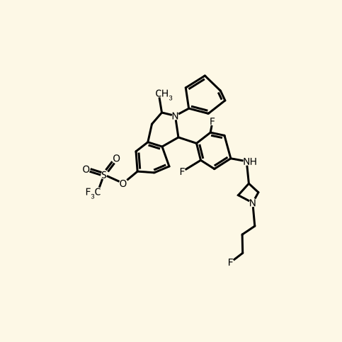 CC1Cc2cc(OS(=O)(=O)C(F)(F)F)ccc2C(c2c(F)cc(NC3CN(CCCF)C3)cc2F)N1c1ccccc1